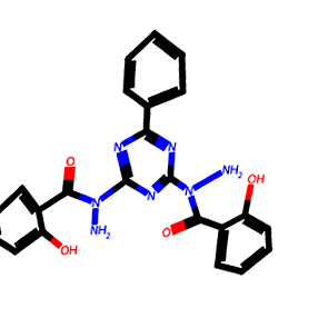 NN(C(=O)c1ccccc1O)c1nc(-c2ccccc2)nc(N(N)C(=O)c2ccccc2O)n1